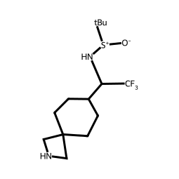 CC(C)(C)[S+]([O-])NC(C1CCC2(CC1)CNC2)C(F)(F)F